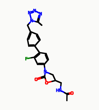 CC(=O)NCC1CN(c2ccc(-c3ccc(Cn4nnnc4C)cc3)c(F)c2)C(=O)O1